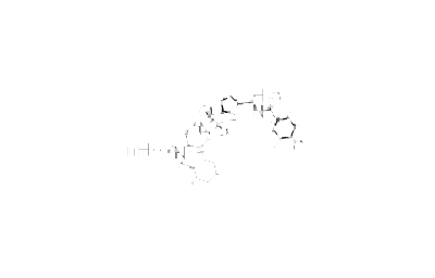 CCCCCCN(CC1CCCCC1)C1CCN(S(=O)(=O)c2ccc(CNC(=O)c3ccc(Cl)cc3)s2)CC1